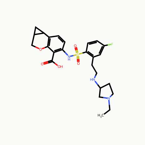 CCN1CCC(NCCc2cc(F)ccc2S(=O)(=O)Nc2ccc3c(c2C(=O)O)OCC2CC32)C1